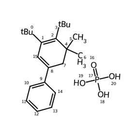 CC(C)(C)C1=C(C(C)(C)C)C(C)(C)CC(c2ccccc2)=C1.O=P(O)(O)O